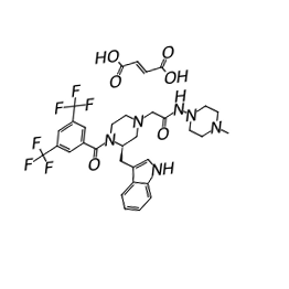 CN1CCN(NC(=O)CN2CCN(C(=O)c3cc(C(F)(F)F)cc(C(F)(F)F)c3)[C@H](Cc3c[nH]c4ccccc34)C2)CC1.O=C(O)/C=C/C(=O)O